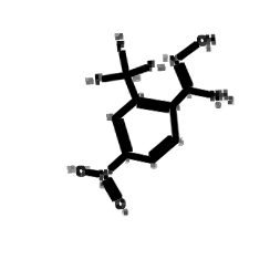 N/C(=N\O)c1ccc([N+](=O)[O-])cc1C(F)(F)F